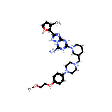 COCCOc1ccc(N2CCN(CC3CCCN(c4nc(N)n5nc(-c6occc6C)nc5n4)C3)CC2)cc1